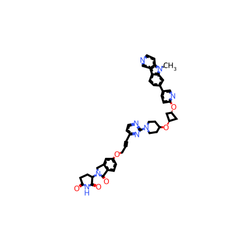 Cn1c2ccncc2c2ccc(-c3ccc(O[C@H]4C[C@H](OC5CCN(c6nccc(C#CCOc7ccc8c(c7)CN(C7CCC(=O)NC7=O)C8=O)n6)CC5)C4)nc3)cc21